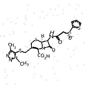 Cc1nnn(C)c1SCC1=C(C(=O)O)N2C(=O)C(NC(=O)C[S+]([O-])c3cccs3)[C@@H]2SC1